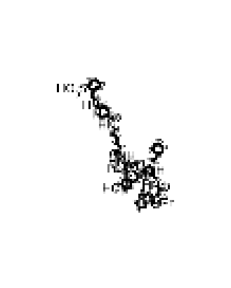 CC(=O)N1CCC[C@H]1C(=O)N[C@@H](CC(C)C)C(=O)NCC(=O)N[C@@H](CCc1ccccc1)C(=O)N[C@@H](Cc1ccc(O)cc1)C(=O)N[C@@H](CC(C)C)C(=O)NNC(=O)CCCCCNC(=O)c1ccc(NN=Cc2ccccc2S(=O)(=O)O)nc1